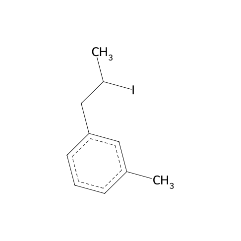 Cc1cccc(CC(C)I)c1